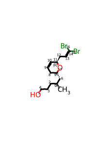 C[C@@H](CCCO)C[C@@H]1CC=C[C@@H](CC=C(Br)Br)O1